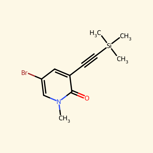 Cn1cc(Br)cc(C#C[Si](C)(C)C)c1=O